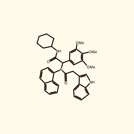 COc1cc(C(C(=O)NC2CCCCC2)N(C(=O)Cc2c[nH]c3ccccc23)c2cccc3ccccc23)cc(OC)c1OC